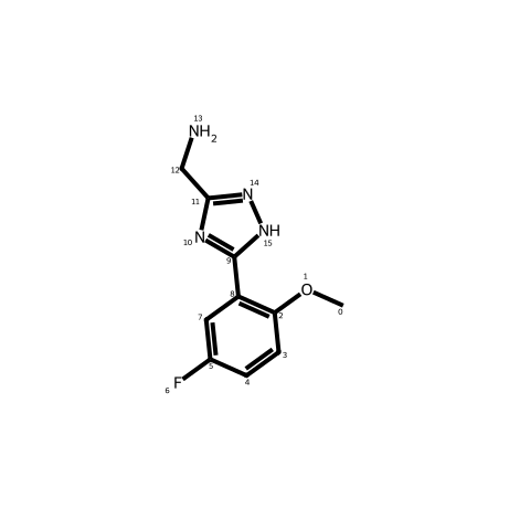 COc1ccc(F)cc1-c1nc(CN)n[nH]1